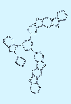 c1ccc(-c2nc3ccccc3n2-c2cc(-c3ccc4oc5cc6c(cc5c4c3)oc3ccccc36)cc(-c3ccc4oc5cc6c(cc5c4c3)oc3ccccc36)c2)cc1